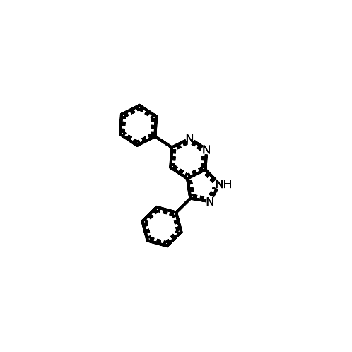 c1ccc(-c2cc3c(-c4ccccc4)n[nH]c3nn2)cc1